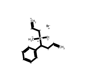 C=CCC(c1ccccc1)[N+](C)(CC)CC=C.[Br-]